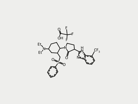 CCN(CC)C1CCC(N2CCC(c3nc4cccc(C(F)(F)F)c4[nH]3)C2=O)C(CS(=O)(=O)c2ccccc2)C1.O=C(O)C(F)(F)F